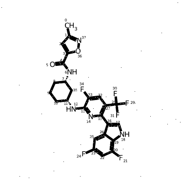 Cc1cc(C(=O)N[C@H]2CCC[C@@H](Nc3nc(-c4c[nH]c5c(F)cc(F)cc45)c(C(F)(F)F)cc3F)C2)on1